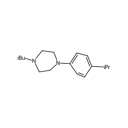 CCC(C)N1CCN(c2ccc(C(C)C)cc2)CC1